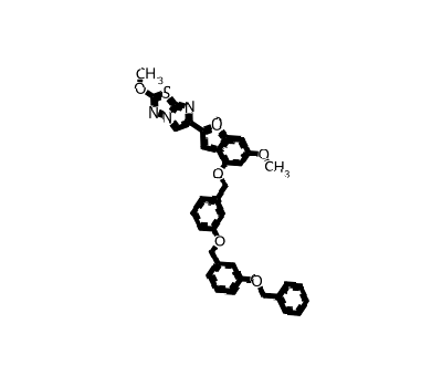 COc1cc(OCc2cccc(OCc3cccc(OCc4ccccc4)c3)c2)c2cc(-c3cn4nc(OC)sc4n3)oc2c1